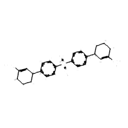 CC1=CC(c2ccc(S(=O)(=O)c3ccc(C4C=C(C)CCC4)cc3)cc2)CCC1